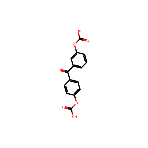 O=C(O)Oc1ccc(C(=O)c2cccc(OC(=O)O)c2)cc1